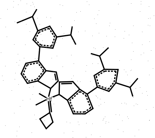 CC(C)c1cc(-c2cccc3c2C=C[CH]3[Hf]([CH3])([CH3])(=[C]2CCC2)[CH]2C=Cc3c(-c4cc(C(C)C)cc(C(C)C)c4)cccc32)cc(C(C)C)c1